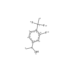 CC(O)c1ccc(C(C)(F)F)c(F)c1